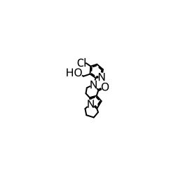 O=C1c2cc3n(c2CCN1c1nccc(Cl)c1CO)CCCC3